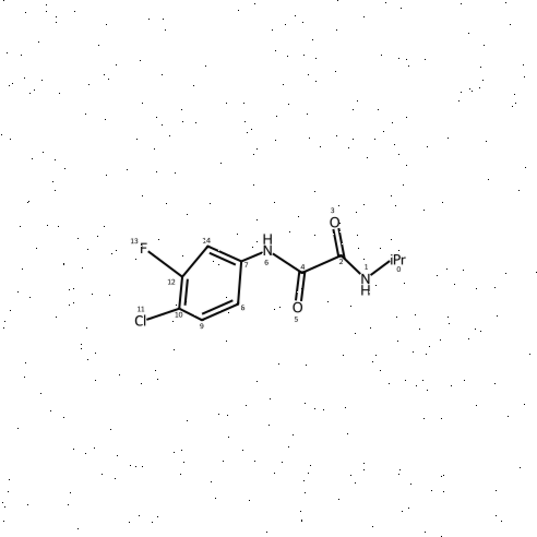 CC(C)NC(=O)C(=O)Nc1ccc(Cl)c(F)c1